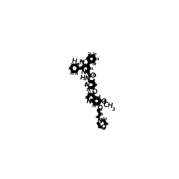 COc1cc2c(Oc3ccc(NC(=O)c4cc(-c5ccccc5)c(N)c(C5CCCCC5)n4)nc3)ccnc2cc1OCCCN1CCOCC1